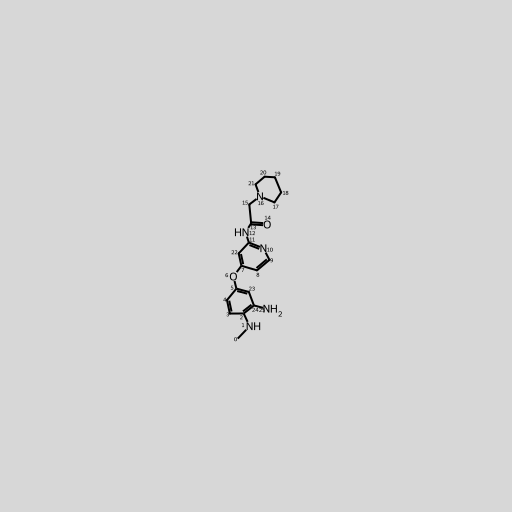 CNc1ccc(Oc2ccnc(NC(=O)CN3CCCCC3)c2)cc1N